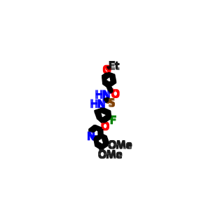 CCOc1ccc(C(=O)NC(=S)Nc2ccc(Oc3ccnc4cc(OC)c(OC)cc34)c(F)c2)cc1